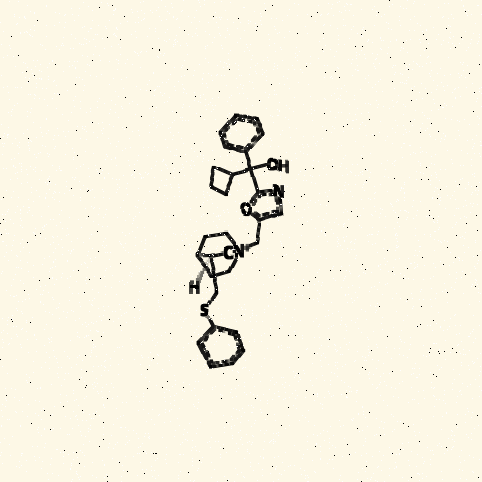 OC(c1ccccc1)(c1ncc(C[N+]23CCC(CC2)[C@H](CSc2ccccc2)C3)o1)C1CCC1